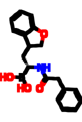 O=C(Cc1ccccc1)N[C@@H](CC1COc2ccccc21)B(O)O